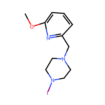 COc1cccc(CN2CCN(I)CC2)n1